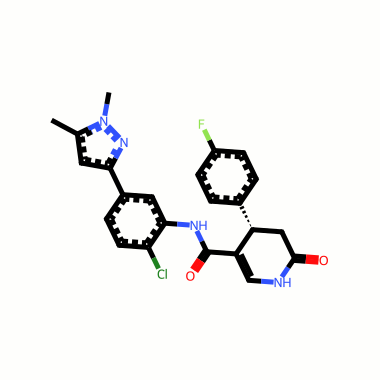 Cc1cc(-c2ccc(Cl)c(NC(=O)C3=CNC(=O)C[C@H]3c3ccc(F)cc3)c2)nn1C